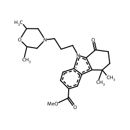 COC(=O)c1ccc2c(c1)c1c(n2CCCN2CC(C)OC(C)C2)C(=O)CCC1(C)C